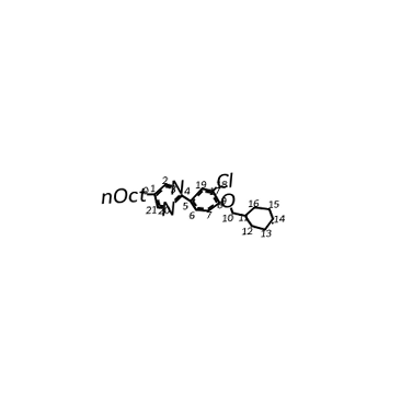 CCCCCCCCc1cnc(-c2ccc(OCC3CC[CH]CC3)c(Cl)c2)nc1